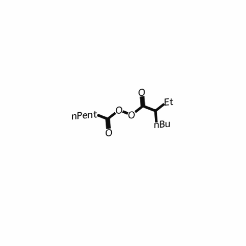 CCCCCC(=O)OOC(=O)C(CC)CCCC